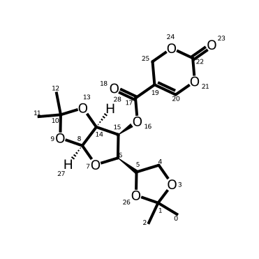 CC1(C)OCC([C@H]2O[C@H]3OC(C)(C)O[C@H]3[C@H]2OC(=O)C2=COC(=O)OC2)O1